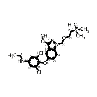 CCNc1cc(Cl)c(Oc2ccc3c(c2)c(OC)nn3COCC[Si](C)(C)C)c(Cl)c1